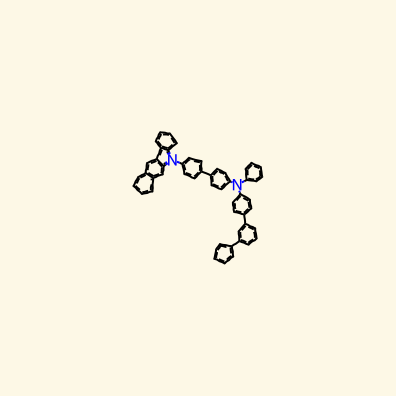 c1ccc(-c2cccc(-c3ccc(N(c4ccccc4)c4ccc(-c5ccc(-n6c7ccccc7c7cc8ccccc8cc76)cc5)cc4)cc3)c2)cc1